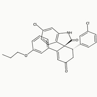 CCCOc1cccc(C2=CC(=O)C[C@@H](c3cccc(Cl)c3)[C@]23C(=O)Nc2cc(Cl)ccc23)c1